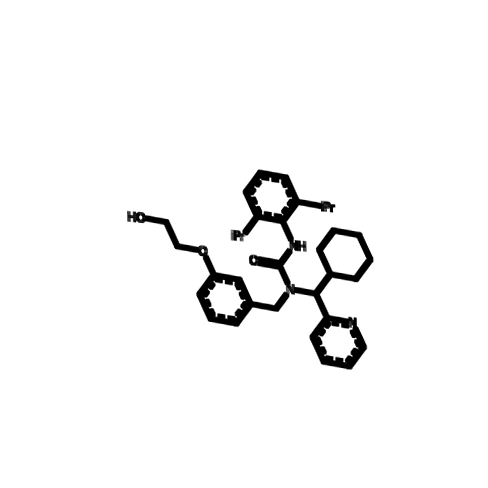 CC(C)c1cccc(C(C)C)c1NC(=O)N(Cc1cccc(OCCO)c1)C(c1ccccn1)C1CCCCC1